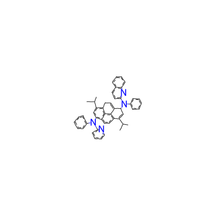 CC(C)C1=CC(N(c2ccccc2)c2ccc3ccccc3n2)C2=CCc3c(C(C)C)cc(N(c4ccccc4)c4ccccn4)c4ccc1c2c34